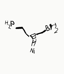 BBP.[Ni]